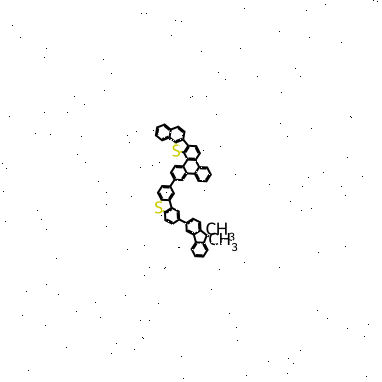 CC1(C)c2ccccc2-c2cc(-c3ccc4sc5ccc(-c6ccc7c(c6)c6ccccc6c6ccc8c9ccc%10ccccc%10c9sc8c67)cc5c4c3)ccc21